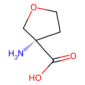 N[C@@]1(C(=O)O)CCOC1